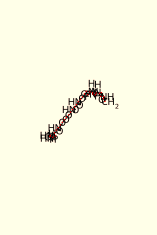 C=CC(=O)Nc1ccc(Nc2nc(Nc3ccc(OCCOCCNC(=O)CCCC(=O)NCCCOCCOCCOCCCNC(=O)CCCC4SC[C@@H]5NC(=O)N[C@H]45)c(F)c3)ncc2F)cc1